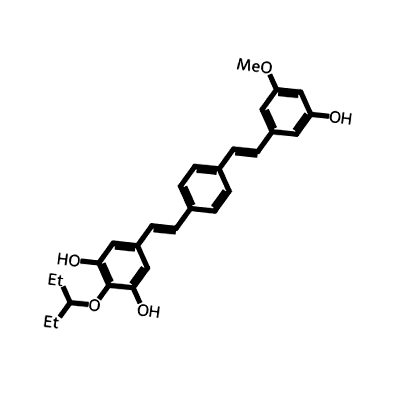 CCC(CC)Oc1c(O)cc(/C=C/c2ccc(/C=C/c3cc(O)cc(OC)c3)cc2)cc1O